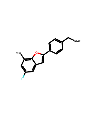 CNCc1ccc(-c2cc3cc(F)cc(C(C)(C)C)c3o2)cc1